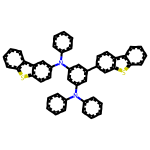 c1ccc(N(c2ccccc2)c2cc(-c3ccc4c(c3)sc3ccccc34)cc(N(c3ccccc3)c3ccc4sc5ccccc5c4c3)c2)cc1